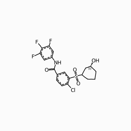 O=C(Nc1cc(F)c(F)c(F)c1)c1ccc(Cl)c(S(=O)(=O)C2CCC[C@H](O)C2)c1